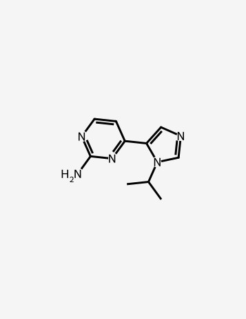 CC(C)n1cncc1-c1ccnc(N)n1